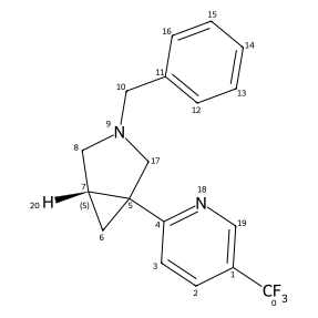 FC(F)(F)c1ccc(C23C[C@@H]2CN(Cc2ccccc2)C3)nc1